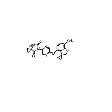 Cc1ccc(Oc2cnc(N3C(=O)NC4(CC4)C3=O)cn2)c2c1OCC21CC1